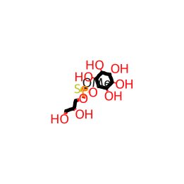 COP(=S)(OCC(O)CO)O[C@@H]1[C@H](O)[C@H](O)[C@@H](O)[C@H](O)[C@H]1O